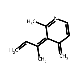 C=C/C(C)=c1\c(C)nccc1=C